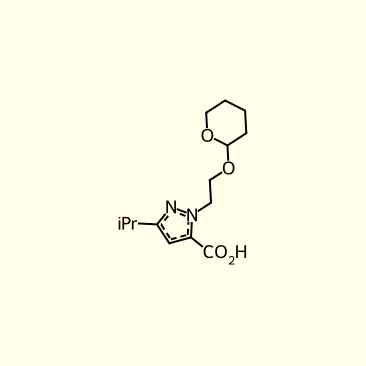 CC(C)c1cc(C(=O)O)n(CCOC2CCCCO2)n1